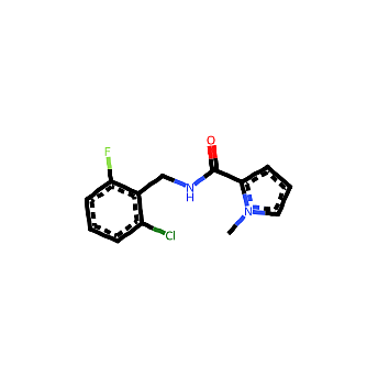 Cn1cccc1C(=O)NCc1c(F)cccc1Cl